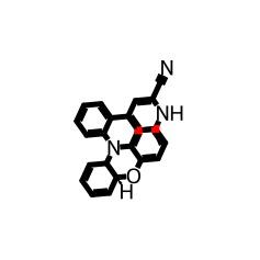 CC1C=C(c2ccccc2N2c3ccccc3O[C@H]3C=CC=CC32)C=C(C#N)N1